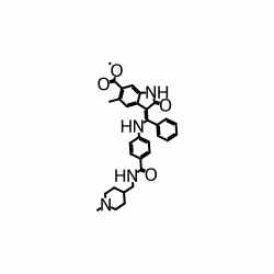 COC(=O)c1cc2c(cc1C)/C(=C(\Nc1ccc(C(=O)NCC3CCN(C)CC3)cc1)c1ccccc1)C(=O)N2